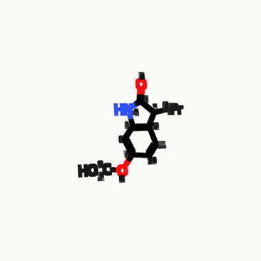 CC(C)C1C(=O)Nc2cc(OC(=O)O)ccc21